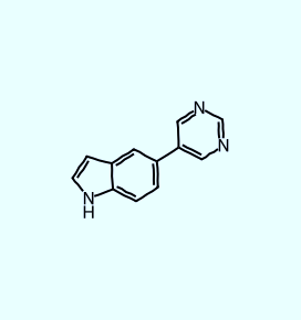 c1ncc(-c2ccc3[nH]ccc3c2)cn1